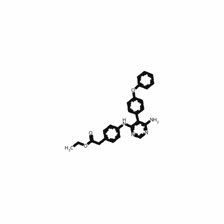 CCOC(=O)Cc1ccc(Nc2ncnc(N)c2-c2ccc(Oc3ccccc3)cc2)cc1